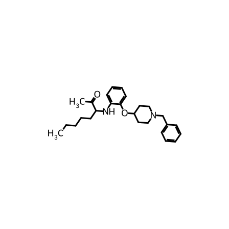 CCCCCC(Nc1ccccc1OC1CCN(Cc2ccccc2)CC1)C(C)=O